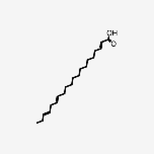 CC/C=C/C/C=C/CCCCCCCCCC/C=C/C(=O)O